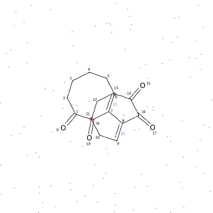 O=C1CCCC/C=C(/C2=C\CCCCC(=O)C2=O)C1=O